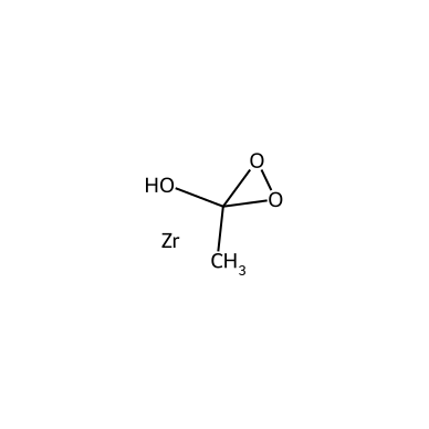 CC1(O)OO1.[Zr]